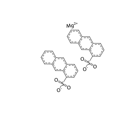 O=S(=O)([O-])c1cccc2cc3ccccc3cc12.O=S(=O)([O-])c1cccc2cc3ccccc3cc12.[Mg+2]